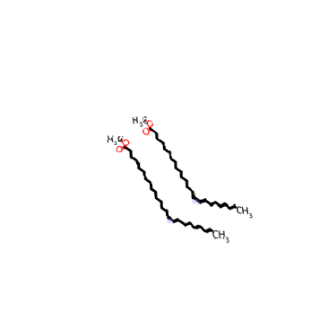 CCCCCCCC/C=C\CCCCCCCCCCCCCC(=O)OC.CCCCCCCC/C=C\CCCCCCCCCCCCCC(=O)OC